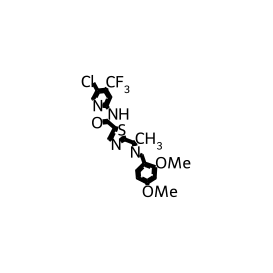 COc1ccc(C/N=C(\C)c2ncc(C(=O)Nc3cc(C(F)(F)F)c(Cl)cn3)s2)c(OC)c1